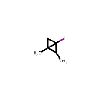 CC1C2(C)CC12I